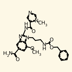 COc1cc(C(N)=O)cc2nc(NC(=O)c3cncn3C)n(CCCNC(=O)OCc3ccccc3)c12